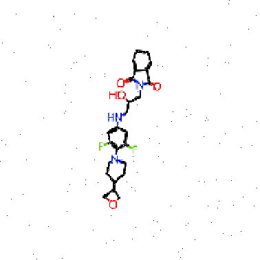 O=C1c2ccccc2C(=O)N1CC(O)CNc1cc(F)c(N2CCC(C3COC3)CC2)c(F)c1